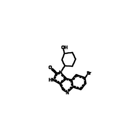 O=c1[nH]c2cnc3ccc(Br)cc3c2n1C1CCCC(O)C1